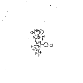 NC(=O)c1nc(CN2N=C(c3ccc(Cl)cc3)N(C[C@H](O)C(F)(F)F)C2O)nn1-c1ncccc1C(F)(F)F